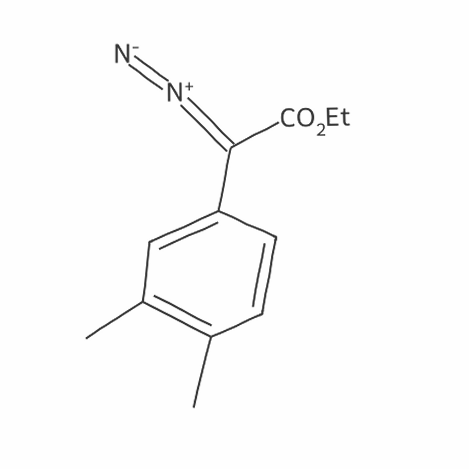 CCOC(=O)C(=[N+]=[N-])c1ccc(C)c(C)c1